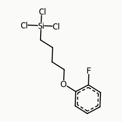 Fc1ccccc1OCCCC[Si](Cl)(Cl)Cl